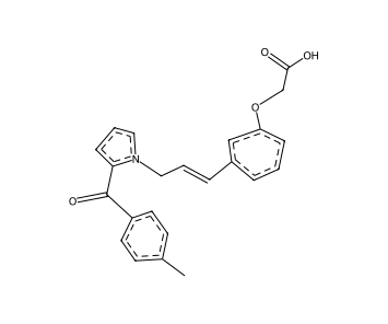 Cc1ccc(C(=O)c2cccn2CC=Cc2cccc(OCC(=O)O)c2)cc1